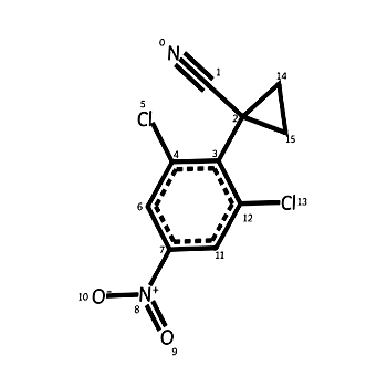 N#CC1(c2c(Cl)cc([N+](=O)[O-])cc2Cl)CC1